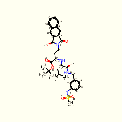 CC(C)C[C@H](N[C@H](CCN1C(=O)c2cc3ccccc3cc2C1=O)C(=O)OC(C)(C)C)C(=O)NCc1cccc(NS(C)(=O)=O)c1